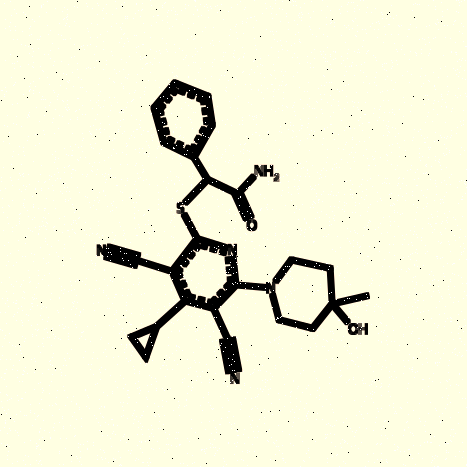 CC1(O)CCN(c2nc(SC(C(N)=O)c3ccccc3)c(C#N)c(C3CC3)c2C#N)CC1